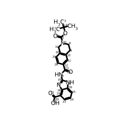 CC(C)(C)OC(=O)N1CCc2cc(C(=O)Nc3nc4c(C(=O)O)cccc4[nH]3)ccc2C1